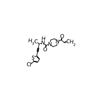 C=CC(=O)N1CCN(C(=O)NC(C)C#Cc2ccc(Cl)s2)CC1